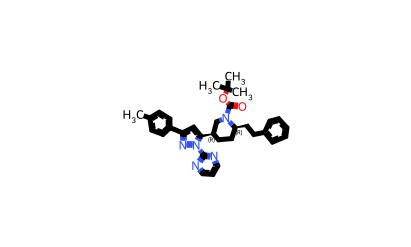 Cc1ccc(-c2cc([C@@H]3CC[C@H](CCc4ccccc4)N(C(=O)OC(C)(C)C)C3)n(-c3ncccn3)n2)cc1